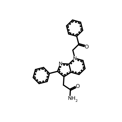 NC(=O)Cc1c2cccn(CC(=O)c3ccccc3)c-2nc1-c1ccccc1